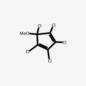 COC1(Cl)C(Cl)=C(Cl)C(Cl)=C1Cl